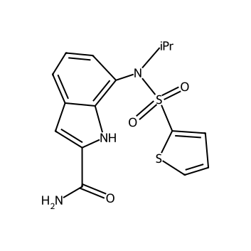 CC(C)N(c1cccc2cc(C(N)=O)[nH]c12)S(=O)(=O)c1cccs1